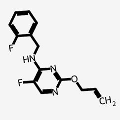 C=CCOc1ncc(F)c(NCc2ccccc2F)n1